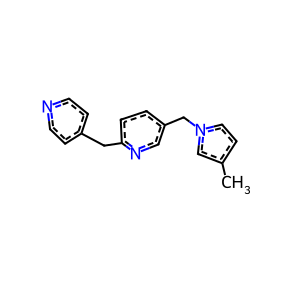 Cc1ccn(Cc2ccc(Cc3ccncc3)nc2)c1